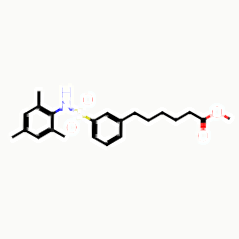 COC(=O)CCCCCc1cccc(S(=O)(=O)Nc2c(C)cc(C)cc2C)c1